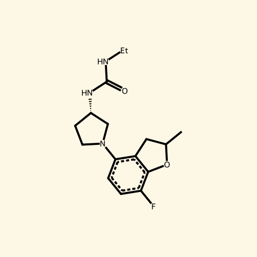 CCNC(=O)N[C@H]1CCN(c2ccc(F)c3c2CC(C)O3)C1